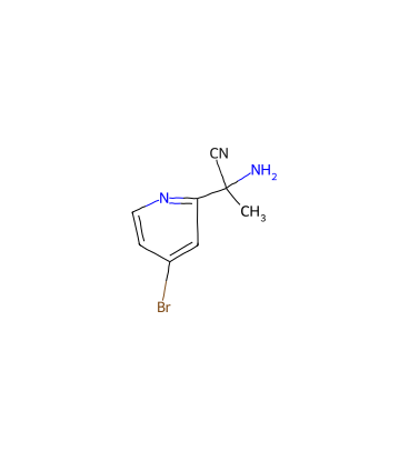 CC(N)(C#N)c1cc(Br)ccn1